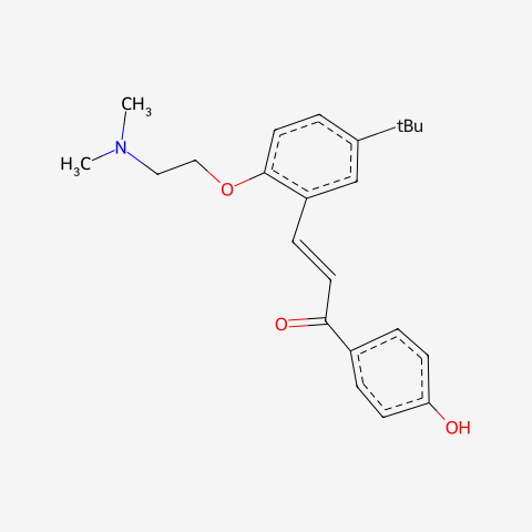 CN(C)CCOc1ccc(C(C)(C)C)cc1C=CC(=O)c1ccc(O)cc1